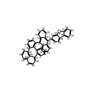 c1ccc2c(c1)-c1c(-c3c4ccccc4c(-c4ccc5c(c4)oc4ccccc45)c4ccccc34)cccc1-c1cccc3cccc-2c13